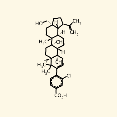 C=C(C)[C@@H]1CC[C@]2(CO)CC[C@]3(C)[C@H](CC[C@@H]4[C@@]5(C)CC=C(c6ccc(C(=O)O)cc6Cl)C(C)(C)[C@@H]5CC[C@]43C)[C@@H]12